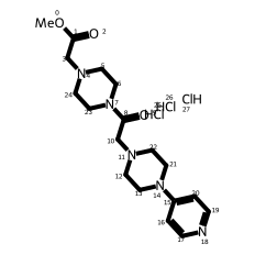 COC(=O)CN1CCN(C(=O)CN2CCN(c3ccncc3)CC2)CC1.Cl.Cl.Cl